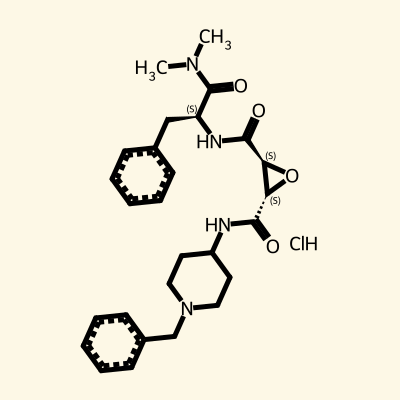 CN(C)C(=O)[C@H](Cc1ccccc1)NC(=O)[C@H]1O[C@@H]1C(=O)NC1CCN(Cc2ccccc2)CC1.Cl